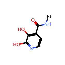 CCNC(=O)c1ccnc(O)c1O